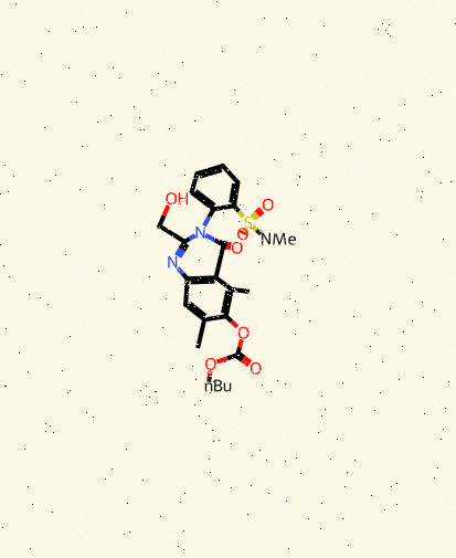 CCCCOC(=O)Oc1c(C)cc2nc(CO)n(-c3ccccc3S(=O)(=O)NC)c(=O)c2c1C